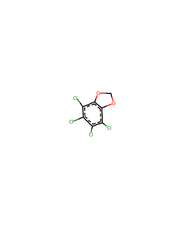 Clc1c(Cl)c(Cl)c2c(c1Cl)OCO2